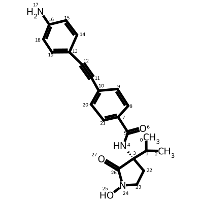 CC(C)[C@@]1(NC(=O)c2ccc(C#Cc3ccc(N)cc3)cc2)CCN(O)C1=O